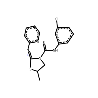 CC1CN(C(=S)Nc2cccc(Cl)c2)/C(=N\c2ccccn2)S1